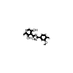 COc1cc(-c2noc(-c3c(O)cnc(C)c3O)n2)ccc1C